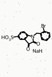 O=C1C(=O)N(Cc2ccccc2Br)c2ccc(S(=O)(=O)O)cc21.[NaH]